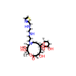 CC[C@H]1OC(=O)[C@H](C)[C@@H](O)[C@H](C)[C@@H](O[C@@H]2O[C@H](C)CC[C@H]2O)C(C)(O)CCCN(CCCNCCNCc2nccs2)[C@H](C)[C@@H](O)[C@]1(C)O